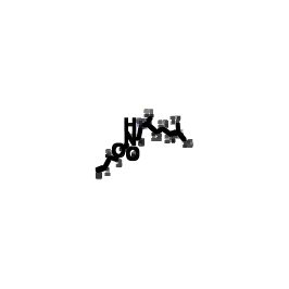 C=CCCOC(=O)NC/C=C(/C)CCC=C(C)C